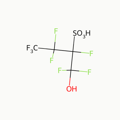 O=S(=O)(O)C(F)(C(O)(F)F)C(F)(F)C(F)(F)F